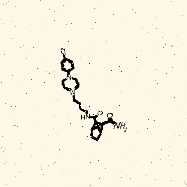 NC(=O)C1C2CCC(C2)C1C(=O)NCCCCN1CCN(c2ccc(Cl)cc2)CC1